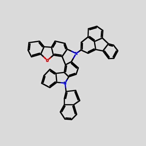 c1ccc2c(c1)-c1cccc3cc(-n4c5ccc6c7ccccc7oc6c5c5c6c7ccccc7n(-c7ccc8ccccc8c7)c6ccc54)cc-2c13